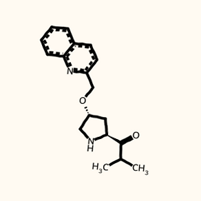 CC(C)C(=O)[C@@H]1C[C@@H](OCc2ccc3ccccc3n2)CN1